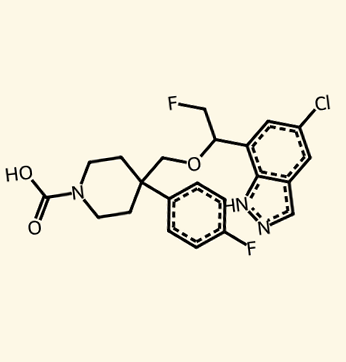 O=C(O)N1CCC(COC(CF)c2cc(Cl)cc3cn[nH]c23)(c2ccc(F)cc2)CC1